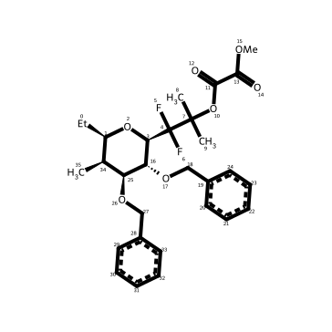 CC[C@H]1O[C@@H](C(F)(F)C(C)(C)OC(=O)C(=O)OC)[C@H](OCc2ccccc2)[C@@H](OCc2ccccc2)[C@H]1C